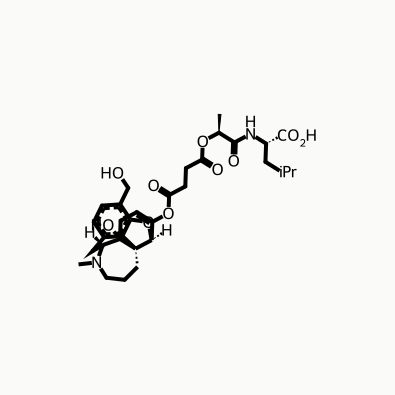 CC(C)C[C@H](NC(=O)[C@H](C)OC(=O)CCC(=O)OC1=CC[C@@]2(O)[C@H]3Cc4ccc(CO)c5c4[C@@]2(CCCN3C)[C@H]1O5)C(=O)O